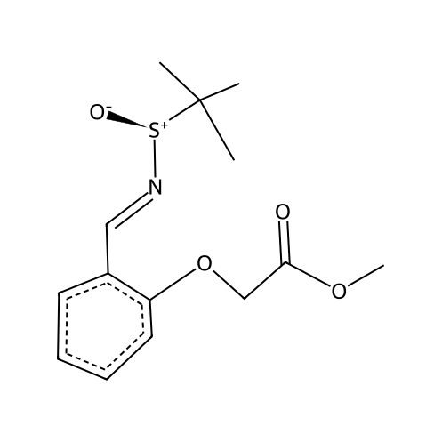 COC(=O)COc1ccccc1/C=N/[S@@+]([O-])C(C)(C)C